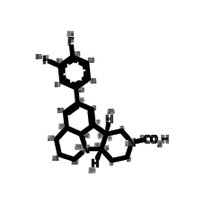 O=C(O)N1CC[C@H]2[C@@H](C1)C1=CC(c3ccc(F)c(F)c3)=CC3CCCN2C13